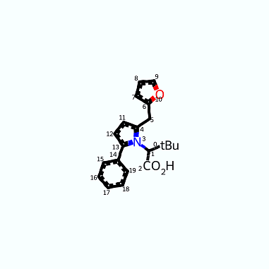 CC(C)(C)C(C(=O)O)n1c(Cc2ccco2)ccc1-c1ccccc1